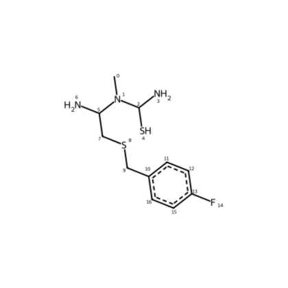 CN(C(N)S)C(N)CSCc1ccc(F)cc1